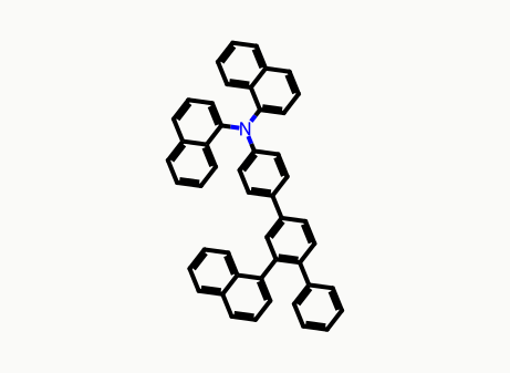 c1ccc(-c2ccc(-c3ccc(N(c4cccc5ccccc45)c4cccc5ccccc45)cc3)cc2-c2cccc3ccccc23)cc1